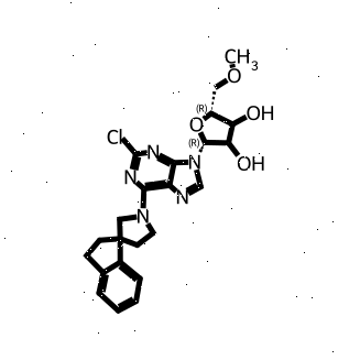 COC[C@H]1O[C@@H](n2cnc3c(N4CCC5(CCc6ccccc65)C4)nc(Cl)nc32)C(O)C1O